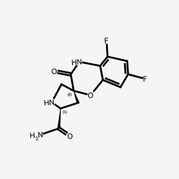 NC(=O)[C@@H]1C[C@]2(CN1)Oc1cc(F)cc(F)c1NC2=O